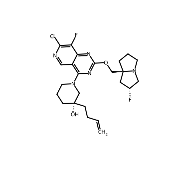 C=CCC[C@@]1(O)CCCN(c2nc(OC[C@@]34CCCN3C[C@H](F)C4)nc3c(F)c(Cl)ncc23)C1